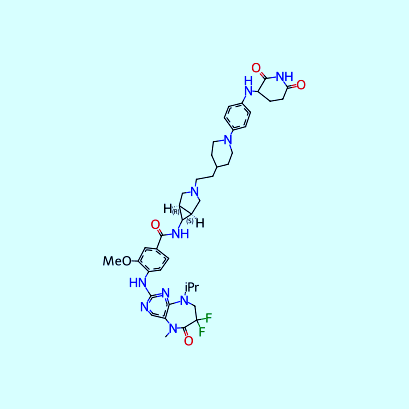 COc1cc(C(=O)NC2[C@H]3CN(CCC4CCN(c5ccc(NC6CCC(=O)NC6=O)cc5)CC4)C[C@@H]23)ccc1Nc1ncc2c(n1)N(C(C)C)CC(F)(F)C(=O)N2C